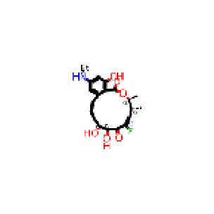 CCNc1cc(O)c2c(c1)CCC[C@H](O)[C@H](O)C(=O)/C(F)=C\[C@@H](C)[C@H](C)OC2=O